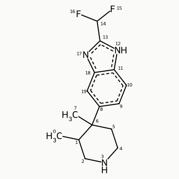 CC1CNCCC1(C)c1ccc2[nH]c(C(F)F)nc2c1